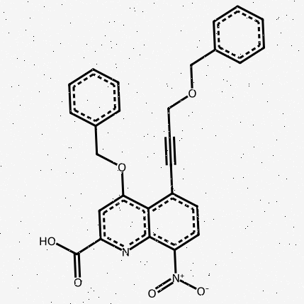 O=C(O)c1cc(OCc2ccccc2)c2c(C#CCOCc3ccccc3)ccc([N+](=O)[O-])c2n1